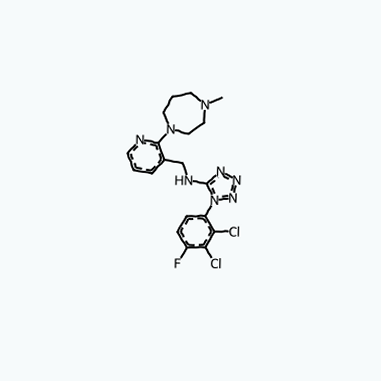 CN1CCCN(c2ncccc2CNc2nnnn2-c2ccc(F)c(Cl)c2Cl)CC1